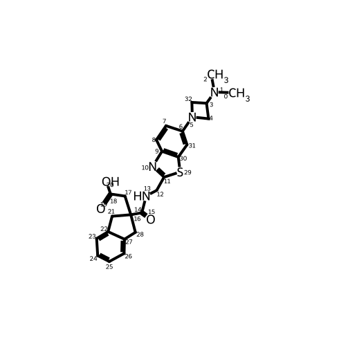 CN(C)C1CN(c2ccc3nc(CNC(=O)C4(CC(=O)O)Cc5ccccc5C4)sc3c2)C1